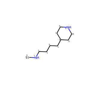 CCNCCCCC1CCNCC1